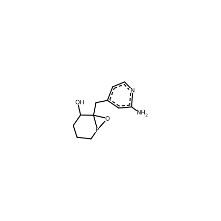 Nc1cc(CC23OP2CCCC3O)ccn1